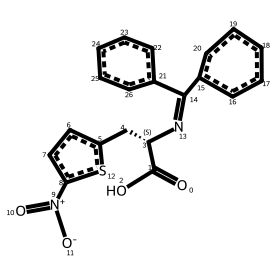 O=C(O)[C@H](Cc1ccc([N+](=O)[O-])s1)N=C(c1ccccc1)c1ccccc1